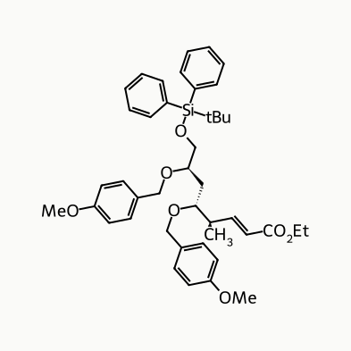 CCOC(=O)C=C[C@@H](C)[C@@H](C[C@H](CO[Si](c1ccccc1)(c1ccccc1)C(C)(C)C)OCc1ccc(OC)cc1)OCc1ccc(OC)cc1